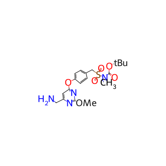 COc1nc(CN)cc(Oc2ccc(CS(=O)(=O)N(C)C(=O)OC(C)(C)C)cc2)n1